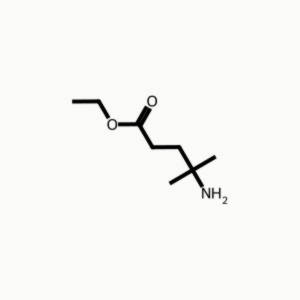 CCOC(=O)CCC(C)(C)N